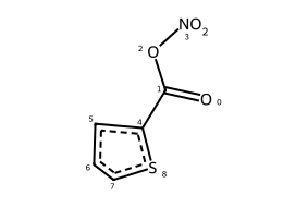 O=C(O[N+](=O)[O-])c1cccs1